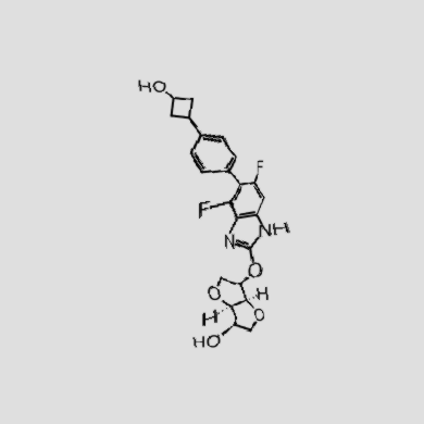 OC1CC(c2ccc(-c3c(F)cc4[nH]c(O[C@@H]5CO[C@H]6[C@@H]5OC[C@H]6O)nc4c3F)cc2)C1